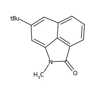 CN1C(=O)c2cccc3cc(C(C)(C)C)cc1c23